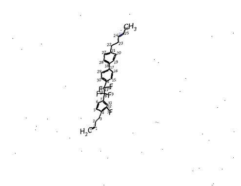 C=CCCc1ccc(C(F)(F)C(F)(F)c2ccc(-c3ccc(CC/C=C/C)cc3)cc2)cc1F